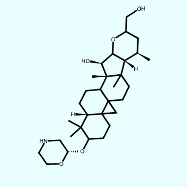 C[C@@H]1CC(CO)OC2[C@H]1C1(C)CCC34CC35CCC(O[C@H]3CNCCO3)C(C)(C)[C@@H]5CCC4[C@]1(C)[C@H]2O